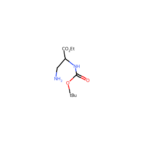 CCOC(=O)C(CN)NC(=O)OC(C)(C)C